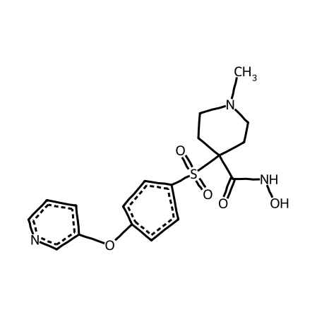 CN1CCC(C(=O)NO)(S(=O)(=O)c2ccc(Oc3cccnc3)cc2)CC1